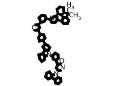 CC1(C)C2=CC=CC3c4cc(-c5cccc(-c6cccc(-c7ccc(-c8ccc9c(c8)c8ccccc8n9-c8ccc9oc%10ncc(-n%11c%12ccccc%12c%12ccccc%12%11)cc%10c9c8)cc7)c6)c5)ccc4-c4cccc1c4C23C